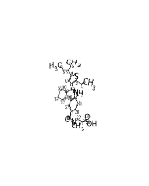 CCc1sc(C(CC)CC)cc1C(Nc1ccc(C(=O)N(C)CCC(=O)O)cc1)C1CCCCC1